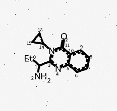 CCC(N)c1nc2ccccc2c(=O)n1C1CC1